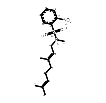 CC(C)=CCC/C(C)=C/CN(C)S(=O)(=O)c1ccccc1[N+](=O)[O-]